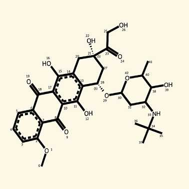 COc1cccc2c1C(=O)c1c(O)c3c(c(O)c1C2=O)C[C@@](O)(C(=O)CO)C[C@@H]3OC1CC(NC(C)(C)C)C(O)C(C)O1